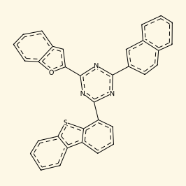 c1ccc2cc(-c3nc(-c4cc5ccccc5o4)nc(-c4cccc5c4sc4ccccc45)n3)ccc2c1